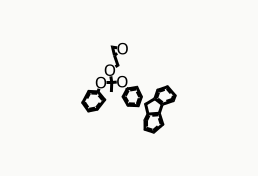 CC(OCC1CO1)(Oc1ccccc1)Oc1ccccc1.c1ccc2c(c1)Cc1ccccc1-2